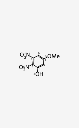 COc1cc(O)c([N+](=O)[O-])c([N+](=O)[O-])c1